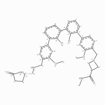 CNC(=O)C1CN(Cc2ncc(-c3cccc(-c4cccc(-c5cnc(CNC[C@@H]6CCC(=O)N6)c(OC)n5)c4Cl)c3Cl)nc2OC)C1